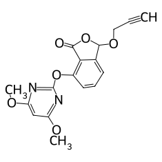 C#CCOC1OC(=O)c2c(Oc3nc(OC)cc(OC)n3)cccc21